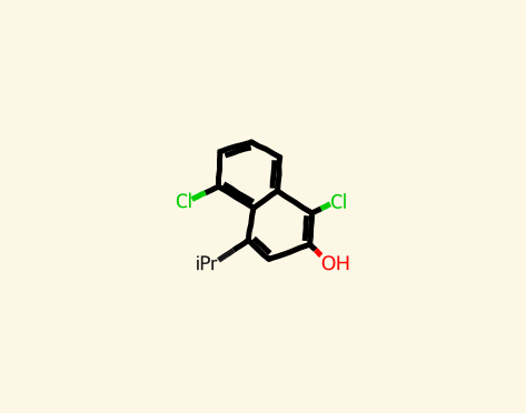 CC(C)c1cc(O)c(Cl)c2cccc(Cl)c12